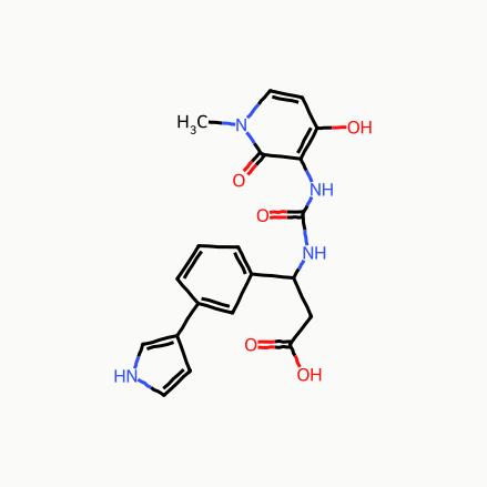 Cn1ccc(O)c(NC(=O)NC(CC(=O)O)c2cccc(-c3cc[nH]c3)c2)c1=O